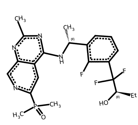 CC[C@@H](O)C(F)(F)c1cccc([C@@H](C)Nc2nc(C)nc3cnc(P(C)(C)=O)cc23)c1F